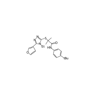 CCn1c(SC(C)(C)C(=O)Nc2ccc(C(C)(C)C)cc2)nnc1-c1ccoc1